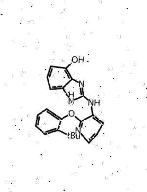 CC(C)(C)c1ccccc1Oc1ncccc1Nc1nc2c(O)cccc2[nH]1